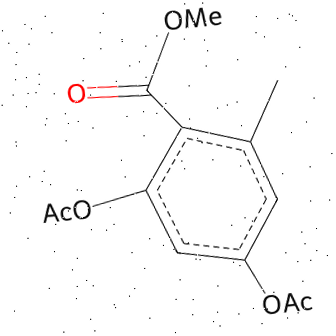 COC(=O)c1c(C)cc(OC(C)=O)cc1OC(C)=O